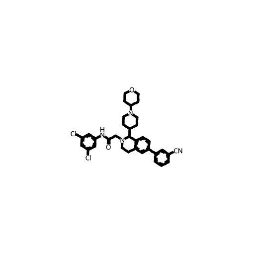 N#Cc1cccc(-c2ccc3c(c2)CCN(CC(=O)Nc2cc(Cl)cc(Cl)c2)C3C2CCN(C3CCOCC3)CC2)c1